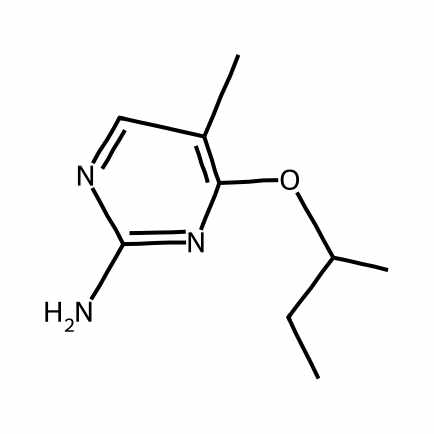 CCC(C)Oc1nc(N)ncc1C